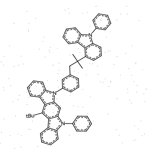 CC(C)(C)c1c2c3ccccc3n(-c3ccccc3)c2cc2c1c1ccccc1n2-c1cccc(CC(C)(C)c2cccc3c2c2ccccc2n3-c2ccccc2)c1